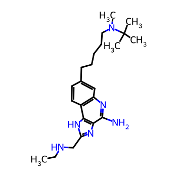 CCNCc1nc2c(N)nc3cc(CCCCCN(C)C(C)(C)C)ccc3c2[nH]1